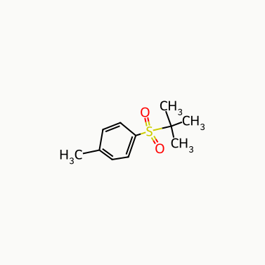 Cc1ccc(S(=O)(=O)C(C)(C)C)cc1